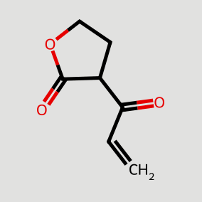 C=CC(=O)C1CCOC1=O